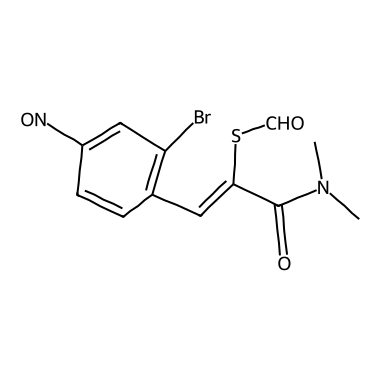 CN(C)C(=O)/C(=C/c1ccc(N=O)cc1Br)SC=O